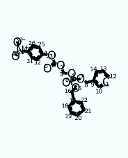 O=C(OCOP(=O)(OCc1ccccc1)OCc1ccccc1)Oc1ccc([N+](=O)[O-])cc1